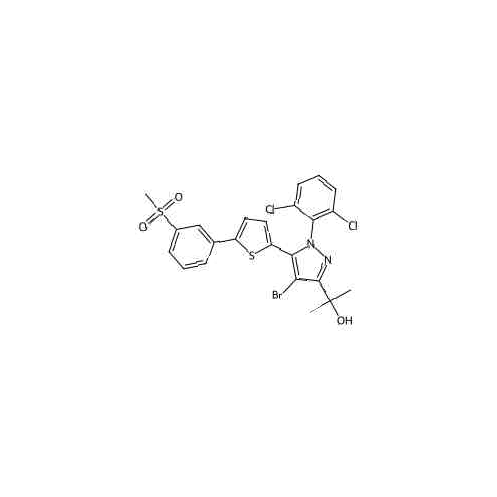 CC(C)(O)c1nn(-c2c(Cl)cccc2Cl)c(-c2ccc(-c3cccc(S(C)(=O)=O)c3)s2)c1Br